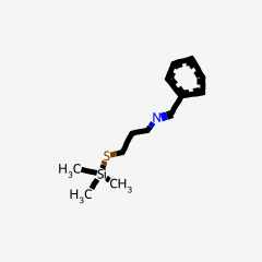 C[Si](C)(C)SCCCN=Cc1ccccc1